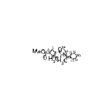 COC(=O)c1ccc([C@H]2CN([C@H](C)c3ccccc3)CCO2)c(C)c1